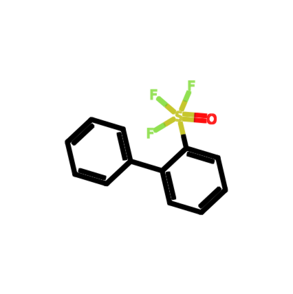 O=S(F)(F)(F)c1ccccc1-c1ccccc1